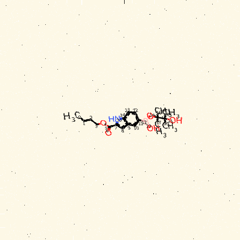 CCCCOC(=O)c1cc2cc(B(O)OC(C)(C)C(C)(C)O)ccc2[nH]1